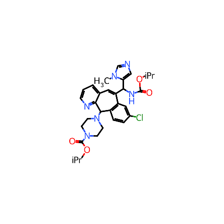 CC(C)OC(=O)NC(C1=Cc2cccnc2C(N2CCN(C(=O)OC(C)C)CC2)c2ccc(Cl)cc21)c1cncn1C